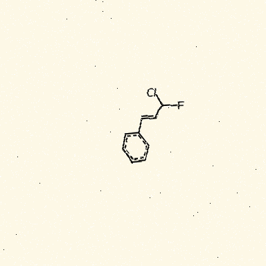 FC(Cl)C=Cc1ccccc1